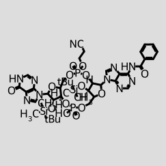 CC(C)(C)[Si](C)(C)O[C@@H]1C2COP(=O)(O)O[C@@H]3C(COP(=O)(OCCC#N)O[C@H]1C(n1cnc4c(NC(=O)c5ccccc5)ncnc41)O2)OC(n1cnc2c(=O)[nH]cnc21)[C@@H]3O[Si](C)(C)C(C)(C)C